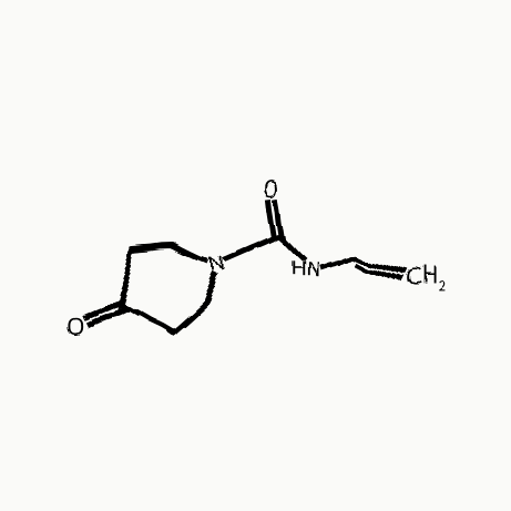 C=CNC(=O)N1CCC(=O)CC1